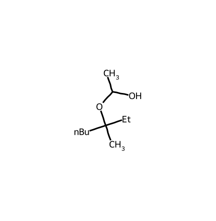 CCCCC(C)(CC)OC(C)O